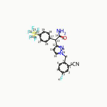 N#Cc1cc(F)ccc1Cn1ccc(C(C(N)=O)c2ccc(S(F)(F)(F)(F)F)cc2)n1